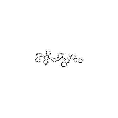 c1ccc2c(-c3c4ccccc4c(-c4ccc5sc6c(-c7c8ccccc8cc8c7sc7ccc9c%10ccccc%10sc9c78)cccc6c5c4)c4ccccc34)cccc2c1